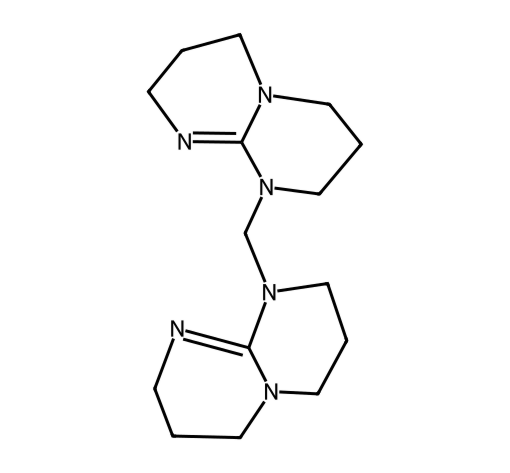 C1CN=C2N(C1)CCCN2CN1CCCN2CCCN=C21